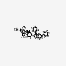 CC(C)(C)OC(=O)NC1(c2ccc(-c3nc4ncc(-c5ccccc5)cn4c3-c3ccccc3)cc2)CCC1